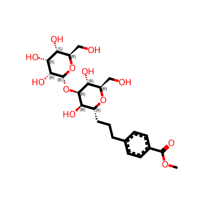 COC(=O)c1ccc(CCC[C@H]2O[C@H](CO)[C@@H](O)[C@H](O[C@H]3O[C@H](CO)[C@@H](O)[C@@H](O)[C@H]3O)[C@@H]2O)cc1